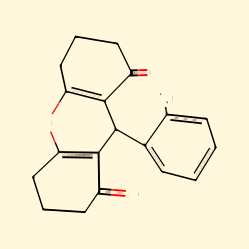 O=C1CCCC2=C1C(c1ccccc1[N+](=O)[O-])C1=C(CCCC1=O)O2